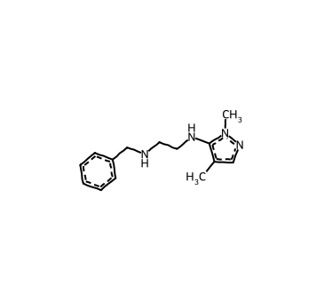 Cc1cnn(C)c1NCCNCc1ccccc1